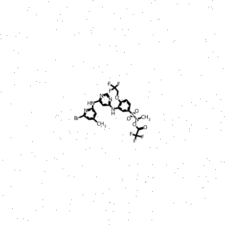 Cc1cc(Br)nc(Nc2cc(Nc3cc(S(=O)(=O)N(C)OC(=O)C(F)(F)F)ccc3OCC(F)(F)F)ncn2)c1